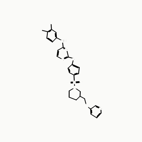 Cc1cc(Nc2ccnc(Nc3ccc(S(=O)(=O)N4CCCC(COc5cccnc5)C4)cc3)n2)ccc1F